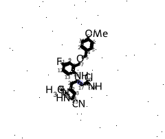 COc1ccc(COCc2cc(F)ccc2N/C(=C\C(=N)Cl)CC2=CC(C#N)NN2C)cc1